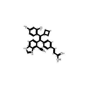 N#Cc1c(C(=C(c2ccc(F)cc2Cl)C2CCC2)c2ccc(C=CC(=O)O)cc2)ccc2scnc12